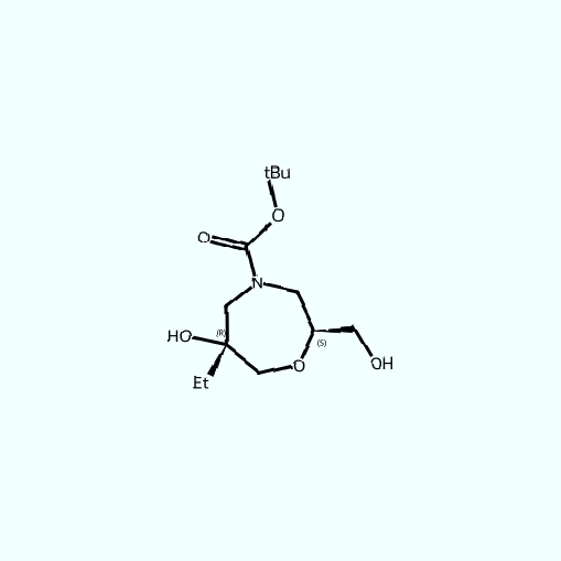 CC[C@]1(O)CO[C@H](CO)CN(C(=O)OC(C)(C)C)C1